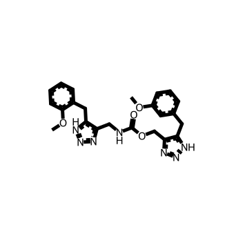 COc1cccc(Cc2[nH]nnc2COC(=O)NCc2nn[nH]c2Cc2ccccc2OC)c1